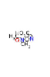 C[C@@H]1CN(c2ccc3nccc(C(=O)O)c3c2)[C@H](C)CO1